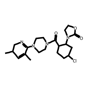 CC1=CC(C)CN=C1N1CCN(C(=O)C2CCC(Cl)CC2N2CCOC2=O)CC1